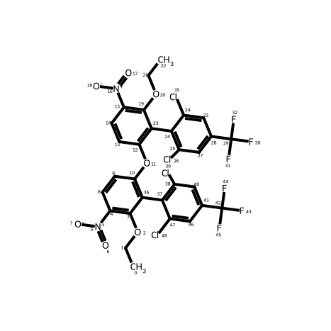 CCOc1c([N+](=O)[O-])ccc(Oc2ccc([N+](=O)[O-])c(OCC)c2-c2c(Cl)cc(C(F)(F)F)cc2Cl)c1-c1c(Cl)cc(C(F)(F)F)cc1Cl